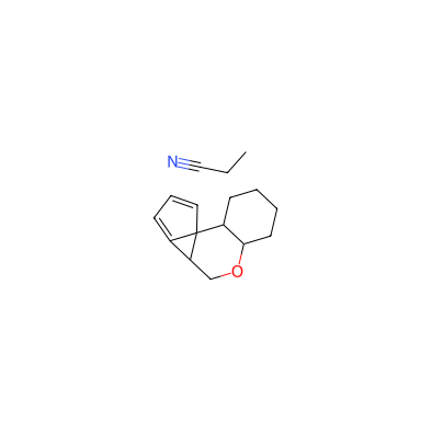 C1=CC23C(=C1)C2COC1CCCCC13.CCC#N